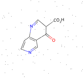 O=C(O)C1C=Nc2ccncc2C1=O